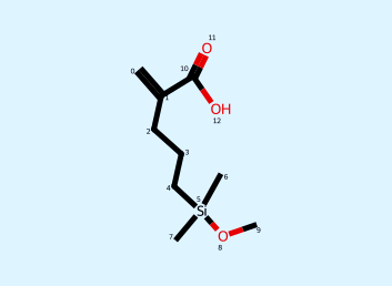 C=C(CCC[Si](C)(C)OC)C(=O)O